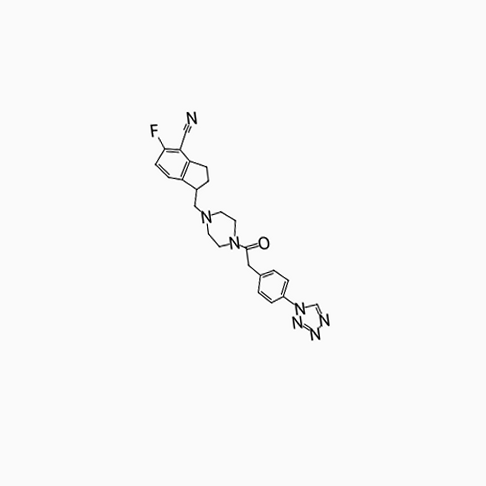 N#Cc1c(F)ccc2c1CCC2CN1CCN(C(=O)Cc2ccc(-n3cnnn3)cc2)CC1